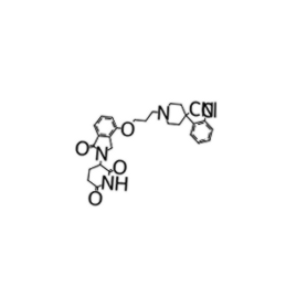 N#CC1(c2ccccc2Cl)CCN(CCCOc2cccc3c2CN(C2CCC(=O)NC2=O)C3=O)CC1